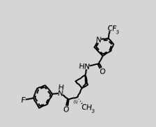 C[C@H](C(=O)Nc1ccc(F)cc1)C12CC(NC(=O)c3ccc(C(F)(F)F)nc3)(C1)C2